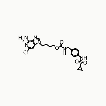 Nc1nc(Cl)cc2c1ncn2CCCCOC(=O)NCc1ccc(NS(=O)(=O)C2CC2)cc1